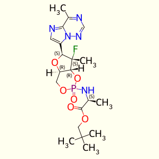 Cc1ncnn2c([C@@H]3O[C@@H]4COP(=O)(N[C@@H](C)C(=O)OCC(C)(C)C)O[C@H]4[C@@]3(C)F)cnc12